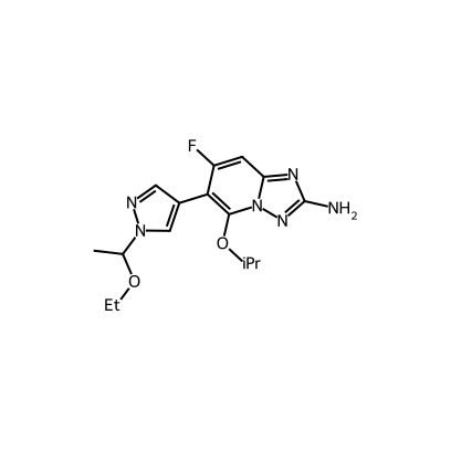 CCOC(C)n1cc(-c2c(F)cc3nc(N)nn3c2OC(C)C)cn1